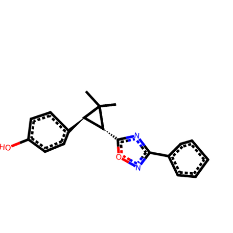 CC1(C)[C@H](c2ccc(O)cc2)[C@H]1c1nc(-c2ccccc2)no1